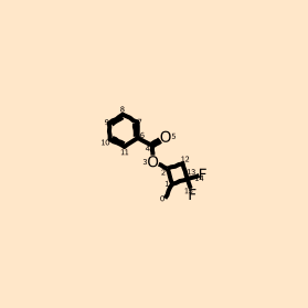 CC1C(OC(=O)c2ccccc2)CC1(F)F